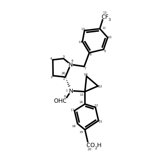 O=CN([C@@H]1CCCN1Cc1ccc(C(F)(F)F)cc1)C1(c2ccc(C(=O)O)cc2)CC1